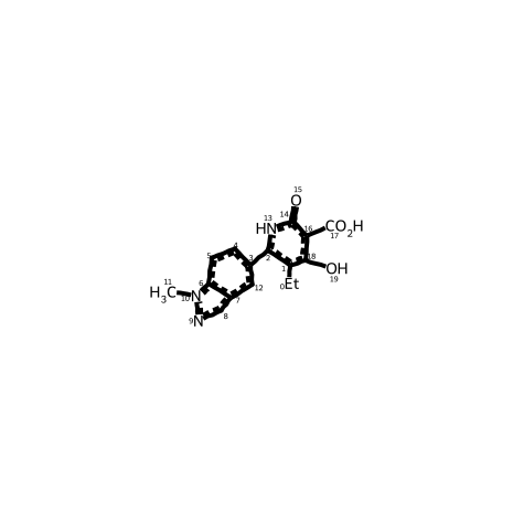 CCc1c(-c2ccc3c(cnn3C)c2)[nH]c(=O)c(C(=O)O)c1O